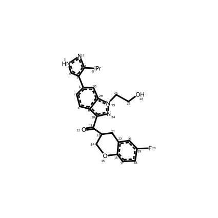 CC(C)c1n[nH]cc1-c1ccc2c(C(=O)C3COc4ccc(F)cc4C3)nn(CCO)c2c1